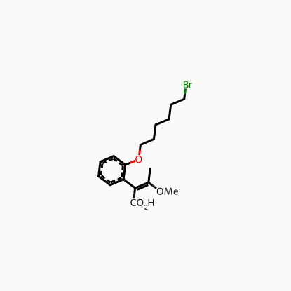 COC(C)=C(C(=O)O)c1ccccc1OCCCCCCBr